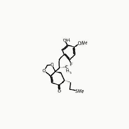 COc1cc(F)c(C[C@H](C)[C@]23C[C@H](CCSC)C(=O)C=C2OCO3)cc1O